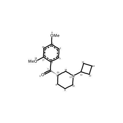 COc1ccc(C(=O)[C@H]2CCCN(C3CCC3)C2)c(OC)c1